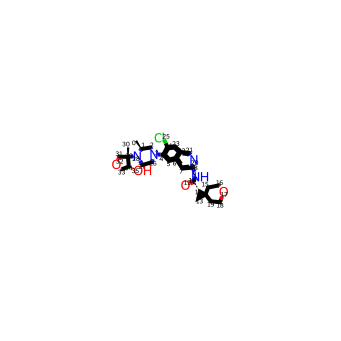 C[C@H]1CN(c2cc3cc(NC(=O)[C@H]4CC45CCOCC5)ncc3cc2Cl)CCN1[C@@]1(C)COC[C@H]1O